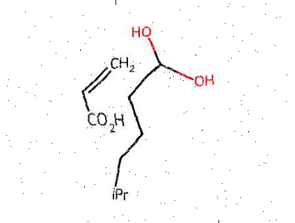 C=CC(=O)O.CC(C)CCCC(O)O